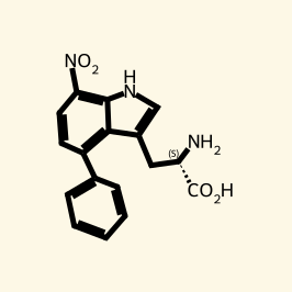 N[C@@H](Cc1c[nH]c2c([N+](=O)[O-])ccc(-c3ccccc3)c12)C(=O)O